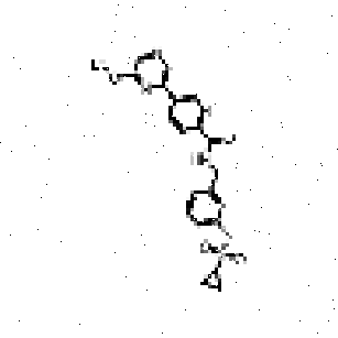 CCOc1cncc(-c2ccc(C(=O)NCc3cccc(NS(=O)(=O)C4CC4)c3)nc2)n1